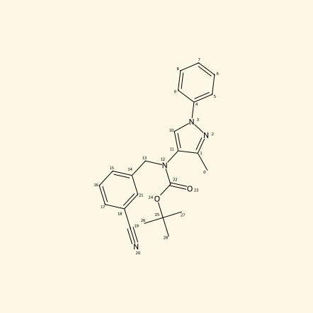 Cc1nn(-c2ccccc2)cc1N(Cc1cccc(C#N)c1)C(=O)OC(C)(C)C